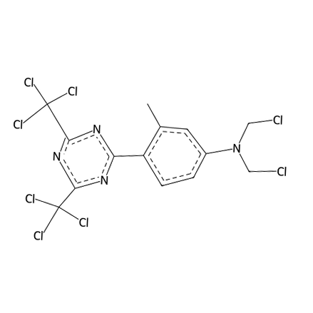 Cc1cc(N(CCl)CCl)ccc1-c1nc(C(Cl)(Cl)Cl)nc(C(Cl)(Cl)Cl)n1